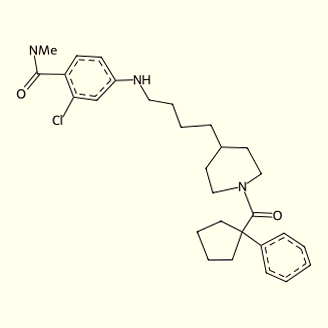 CNC(=O)c1ccc(NCCCCC2CCN(C(=O)C3(c4ccccc4)CCCC3)CC2)cc1Cl